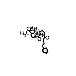 CC(C)(C)C1CC[C@@H](C(=O)[C@H]2CCCN2C(=O)CCCc2ccccc2)N1